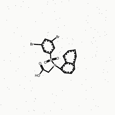 O=C(O)CN(c1cccc2ccccc12)S(=O)(=O)c1cc(Br)cc(Br)c1